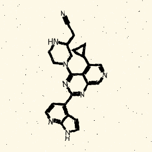 N#CCC1CN(c2nc(-c3ccnc4[nH]ccc34)nc3cncc(C4CC4)c23)CCN1